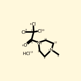 CN1CCN(C(=O)C(Cl)(Cl)Cl)CC1.Cl